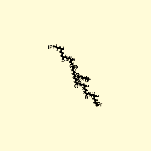 CC(C)CCCC(C)CCCC(C)CCCC(C)CCOC(=O)CCCC(CCCC(=O)OCCC(C)CCCC(C)CCCC(C)CCCC(C)C)OC(=O)CCCN(C)C